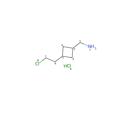 Cl.NCC1CC(CCCl)C1